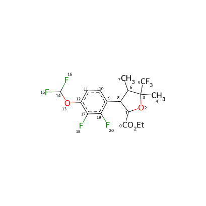 CCOC(=O)C1OC(C)(C(F)(F)F)C(C)C1c1ccc(OC(F)F)c(F)c1F